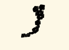 COCCN1CCN(Cc2ccc(-c3cnc4nc(-c5cccs5)c(-c5cccs5)nc4c3)s2)CC1